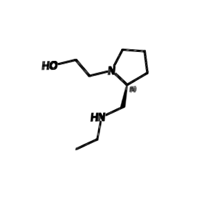 CCNC[C@@H]1CCCN1CCO